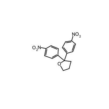 O=[N+]([O-])c1ccc(C2(c3ccc([N+](=O)[O-])cc3)CCCO2)cc1